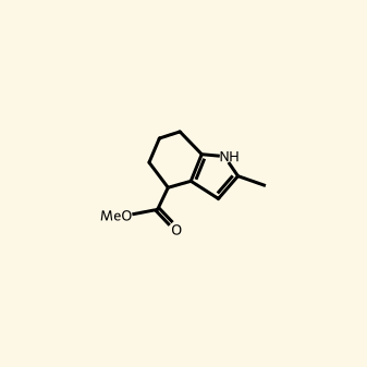 COC(=O)C1CCCc2[nH]c(C)cc21